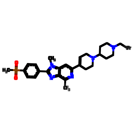 CC(C)CN1CCC(N2CC=C(c3cc4c(nc(-c5ccc(S(C)(=O)=O)cc5)n4C)c(C(F)(F)F)n3)CC2)CC1